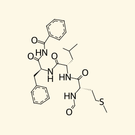 CSCC[C@H](NC=O)C(=O)N[C@@H](CC(C)C)C(=O)N[C@@H](Cc1ccccc1)C(=O)NC(=O)c1ccccc1